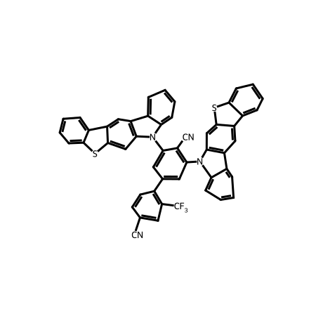 N#Cc1ccc(-c2cc(-n3c4ccccc4c4cc5c(cc43)sc3ccccc35)c(C#N)c(-n3c4ccccc4c4cc5c(cc43)sc3ccccc35)c2)c(C(F)(F)F)c1